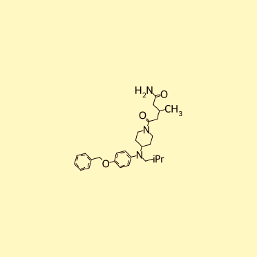 CC(C)CN(c1ccc(OCc2ccccc2)cc1)C1CCN(C(=O)CC(C)CC(N)=O)CC1